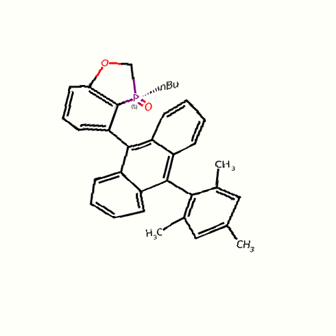 CCCC[P@@]1(=O)COc2cccc(-c3c4ccccc4c(-c4c(C)cc(C)cc4C)c4ccccc34)c21